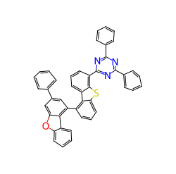 c1ccc(-c2cc(-c3cccc4sc5c(-c6nc(-c7ccccc7)nc(-c7ccccc7)n6)cccc5c34)c3c(c2)oc2ccccc23)cc1